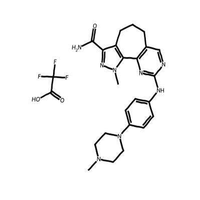 CN1CCN(c2ccc(Nc3ncc4c(n3)-c3c(c(C(N)=O)nn3C)CCC4)cc2)CC1.O=C(O)C(F)(F)F